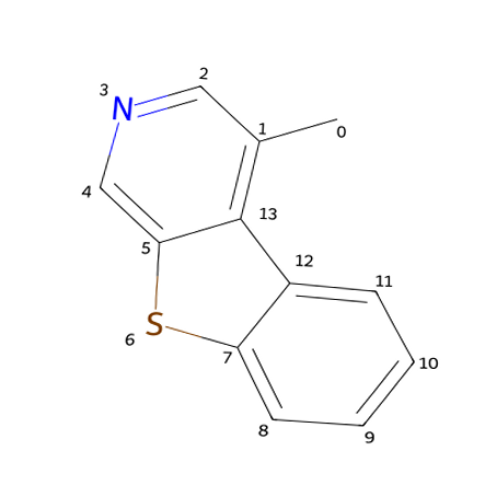 Cc1cncc2sc3ccccc3c12